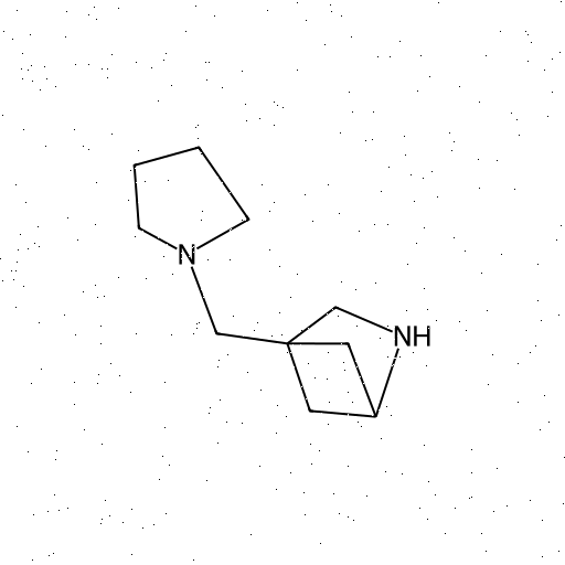 C1CCN(CC23CNC(C2)C3)C1